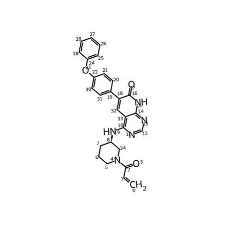 C=CC(=O)N1CCC[C@@H](Nc2ncnc3[nH]c(=O)c(-c4ccc(Oc5ccccc5)cc4)cc23)C1